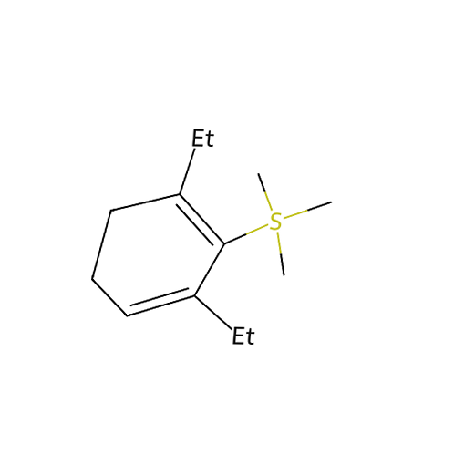 CCC1=CCCC(CC)=C1S(C)(C)C